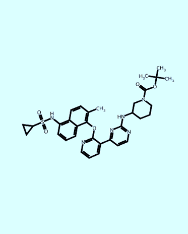 Cc1ccc2c(NS(=O)(=O)C3CC3)cccc2c1Oc1ncccc1-c1ccnc(NC2CCCN(C(=O)OC(C)(C)C)C2)n1